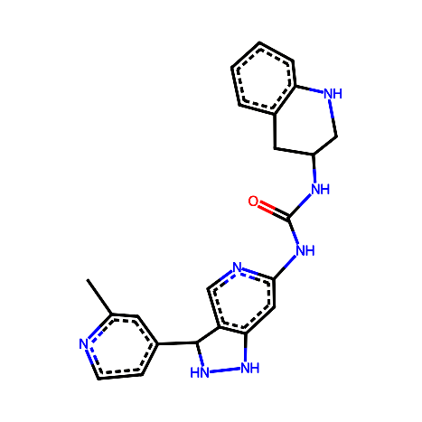 Cc1cc(C2NNc3cc(NC(=O)NC4CNc5ccccc5C4)ncc32)ccn1